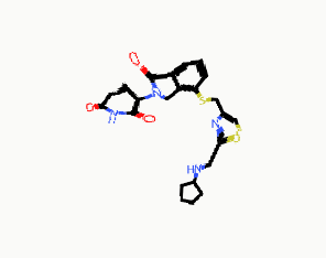 O=C1CCC(N2Cc3c(SCc4csc(CNC5CCCC5)n4)cccc3C2=O)C(=O)N1